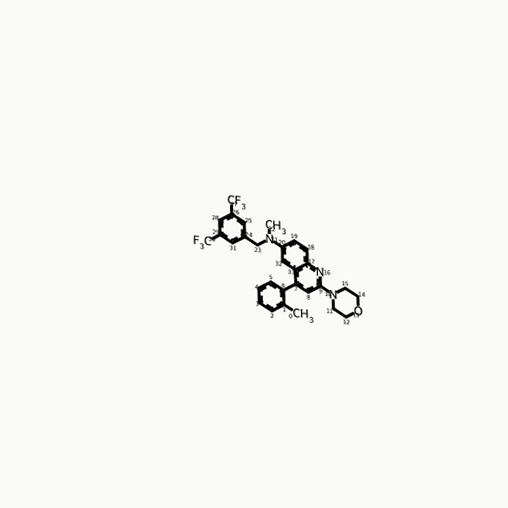 Cc1ccccc1-c1cc(N2CCOCC2)nc2ccc(N(C)Cc3cc(C(F)(F)F)cc(C(F)(F)F)c3)cc12